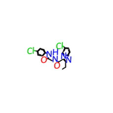 CCc1nc2ccc(Cl)cn2c1C(=O)NCc1nc2ccc(Cl)cc2o1